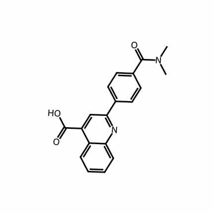 CN(C)C(=O)c1ccc(-c2cc(C(=O)O)c3ccccc3n2)cc1